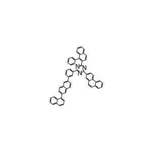 c1ccc(-c2c(-c3nc(-c4cccc(-c5ccc6cc(-c7cccc8ccccc78)ccc6c5)c4)nc(-c4ccc5c(ccc6ccccc65)c4)n3)ccc3ccccc23)cc1